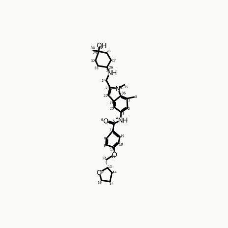 Cc1cc(NC(=O)c2ccc(OC[C@@H]3CCCO3)cc2)cc2cc(CNC3CCC(C)(O)CC3)n(C)c12